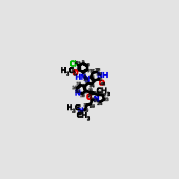 COc1c(Cl)cccc1Nn1c(-c2ccncc2C#C[C@@]2(C)CCCN2C(=O)/C=C/CN(C)C)cc2c1CCNC2=O